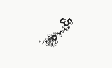 COc1cc(NC(=O)CSc2nnc(-c3ccco3)c(-c3ccco3)n2)cc(OC)c1O[Si](C)(C)C(C)(C)C